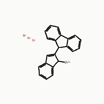 [Br-].[Br-].[Br-].[Zr+3][CH]1C(C2c3ccccc3-c3ccccc32)=Cc2ccccc21